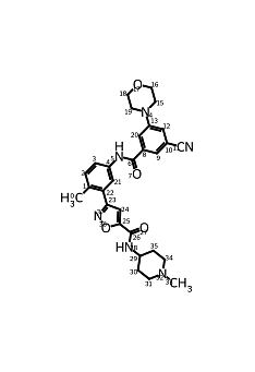 Cc1ccc(NC(=O)c2cc(C#N)cc(N3CCOCC3)c2)cc1-c1cc(C(=O)NC2CCN(C)CC2)on1